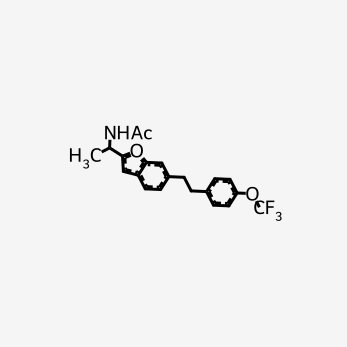 CC(=O)NC(C)c1cc2ccc(CCc3ccc(OC(F)(F)F)cc3)cc2o1